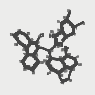 Cc1cc2nc(N(c3c(Cl)c4ccccc4c4ccccc34)c3ccc4c5c(ccc(Br)c35)C=C4)[nH]c2cc1C